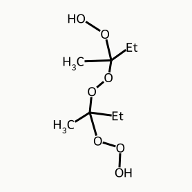 CCC(C)(OO)OOC(C)(CC)OOO